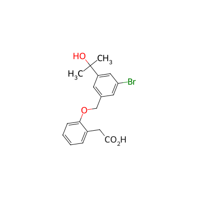 CC(C)(O)c1cc(Br)cc(COc2ccccc2CC(=O)O)c1